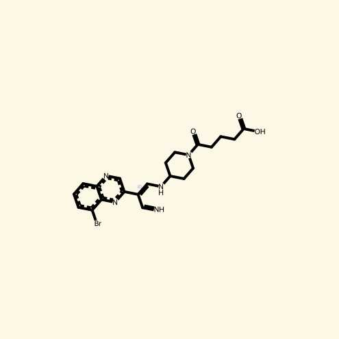 N=C/C(=C\NC1CCN(C(=O)CCCC(=O)O)CC1)c1cnc2cccc(Br)c2n1